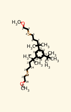 COCCSCCCC(C)(C)c1cc(C(C)(C)C)cc(C(C)(C)CCCSCCOC)c1